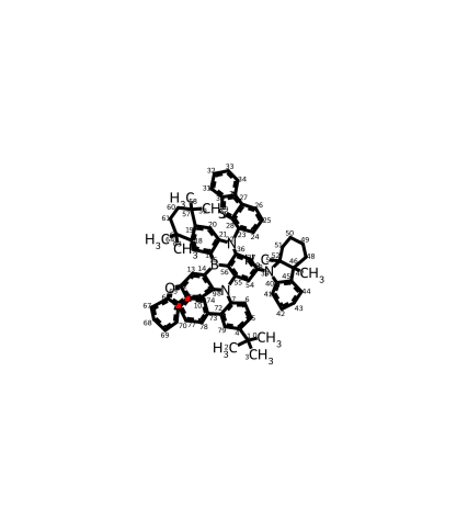 CC(C)(C)c1ccc(N2c3cc4c(cc3B3c5cc6c(cc5N(c5cccc7c5sc5ccccc57)c5cc(N7c8ccccc8C8(C)CCCCC78C)cc2c53)C(C)(C)CCC6(C)C)oc2ccccc24)c(-c2ccccc2)c1